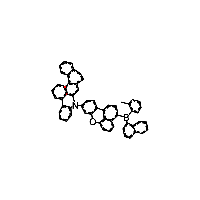 Cc1ccccc1B(c1cccc2ccccc12)c1ccc2c3c(cccc13)Oc1cc(N(c3ccc4c(ccc5ccccc54)c3)c3ccccc3-c3ccccc3)ccc1-2